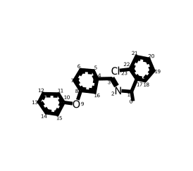 CC(/N=C/c1cccc(Oc2ccccc2)c1)c1ccccc1Cl